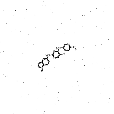 COc1ccc(Nc2nc(Nc3ccc4[nH]ccc4c3)ncc2Cl)cn1